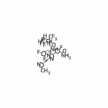 Cc1cncc(C#Cc2ncc(-c3ccc(F)c(C(N)=O)c3)c([C@H](Cc3cc(F)cc(F)c3)NC(=O)Cn3nc(C(F)(F)F)c4c3C(F)(F)[C@@H]3C[C@H]43)n2)c1